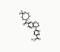 NC(=O)c1ccc(N2CCOc3cc(C(=O)C4CCCCC(F)(F)CC4)cnc32)cn1